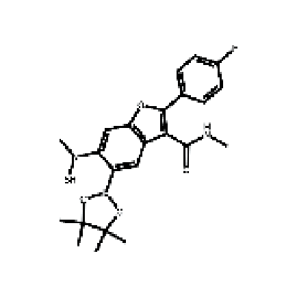 CNC(=O)c1c(-c2ccc(F)cc2)oc2cc(N(C)S)c(B3OC(C)(C)C(C)(C)O3)cc12